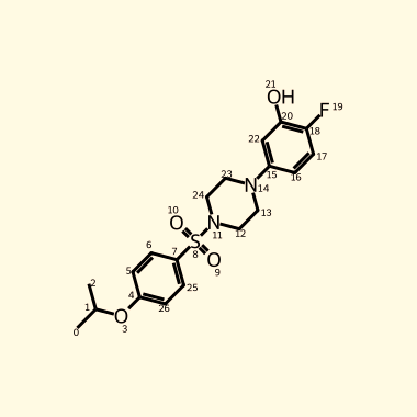 CC(C)Oc1ccc(S(=O)(=O)N2CCN(c3ccc(F)c(O)c3)CC2)cc1